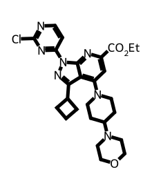 CCOC(=O)c1cc(N2CCC(N3CCOCC3)CC2)c2c(C3CCC3)nn(-c3ccnc(Cl)n3)c2n1